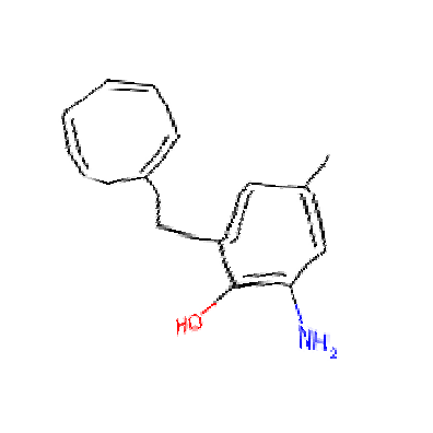 Cc1cc(N)c(O)c(Cc2ccccc2)c1